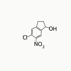 O=[N+]([O-])c1cc2c(cc1Cl)CCC2O